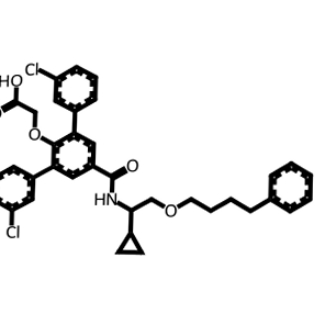 O=C(O)COc1c(-c2cccc(Cl)c2)cc(C(=O)NC(COCCCCc2ccccc2)C2CC2)cc1-c1cccc(Cl)c1